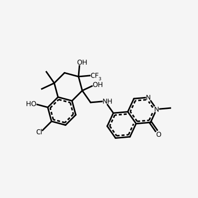 Cn1ncc2c(NCC3(O)c4ccc(Cl)c(O)c4C(C)(C)CC3(O)C(F)(F)F)cccc2c1=O